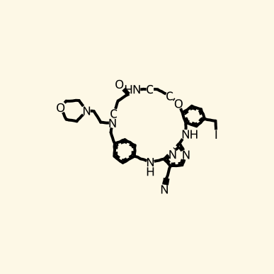 N#Cc1cnc2nc1Nc1ccc(cc1)CN(CCN1CCOCC1)CCC(=O)NCCCOc1ccc(CI)cc1N2